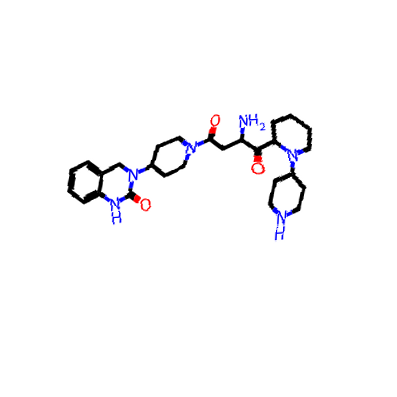 NC(CC(=O)N1CCC(N2Cc3ccccc3NC2=O)CC1)C(=O)C1CCCCN1C1CCNCC1